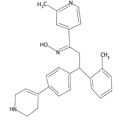 Cc1cc(C(CC(c2ccc(C3=CCNCC3)cc2)c2ccccc2C)=NO)ccn1